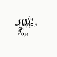 CCCC.CCCC.CCCC.O=S(=O)(O)O.O=S(=O)(O)O